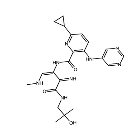 CN/C=C(/NC(=O)c1nc(C2CC2)ccc1Nc1cncnc1)C(=N)C(=O)NCC(C)(C)O